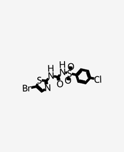 O=C(Nc1ncc(Br)s1)NS(=O)(=O)c1ccc(Cl)cc1